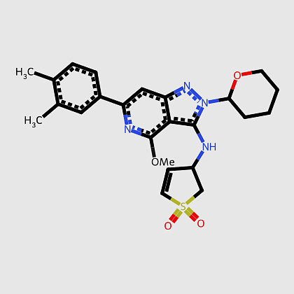 COc1nc(-c2ccc(C)c(C)c2)cc2nn(C3CCCCO3)c(NC3C=CS(=O)(=O)C3)c12